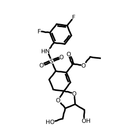 CCOC(=O)C1=CC2(CCC1S(=O)(=O)Nc1ccc(F)cc1F)OC(CO)C(CO)O2